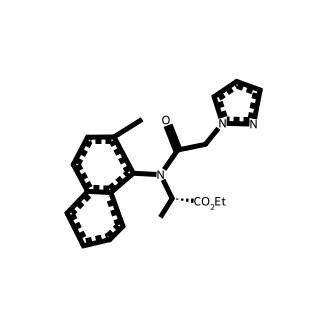 CCOC(=O)[C@H](C)N(C(=O)Cn1cccn1)c1c(C)ccc2ccccc12